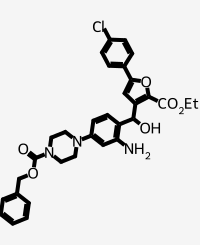 CCOC(=O)c1oc(-c2ccc(Cl)cc2)cc1C(O)c1ccc(N2CCN(C(=O)OCc3ccccc3)CC2)cc1N